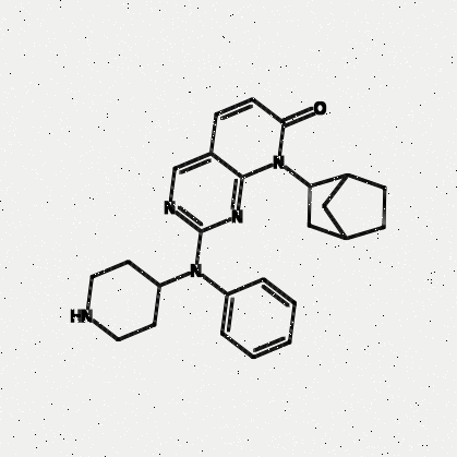 O=c1ccc2cnc(N(c3ccccc3)C3CCNCC3)nc2n1C1CC2CCC1C2